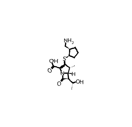 C[C@@H](O)[C@H]1C(=O)N2C(C(=O)O)=C(S[C@@H]3CCC[C@@H]3CN)[C@H](C)[C@H]12